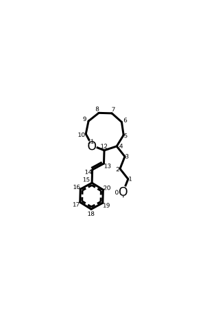 [O]CCCC1CCCCCCOC1C=Cc1ccccc1